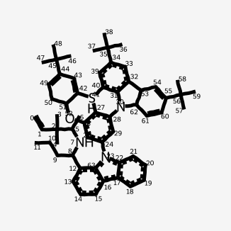 C=CC(C)(C)C(C)NC(CCC)c1cccc2c3ccccc3n(-c3cc4c5c(c3)N3c6c(cc(C(C)(C)C)cc6[SH]5C5=CC(C(C)(C)C)=CCC5O4)C4C=C(C(C)(C)C)C=CC43)c12